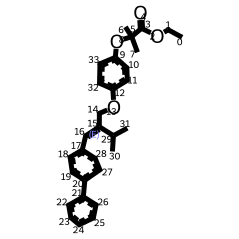 CCOC(=O)C(C)(C)Oc1ccc(OC/C(=C/c2ccc(-c3ccccc3)cc2)C(C)C)cc1